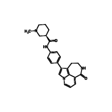 CN1CCC[C@@H](C(=O)Nc2ccc(-c3cn4cccc5c4c3CCNC5=O)cc2)C1